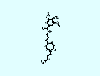 COc1cc(C(=O)NCCCN2CCCN(CCCN)CC2)cc(OC)c1OC